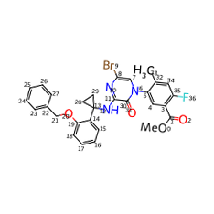 COC(=O)c1cc(-n2cc(Br)nc(NC3(c4ccccc4OCc4ccccc4)CC3)c2=O)c(C)cc1F